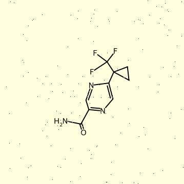 NC(=O)c1cnc(C2(C(F)(F)F)CC2)cn1